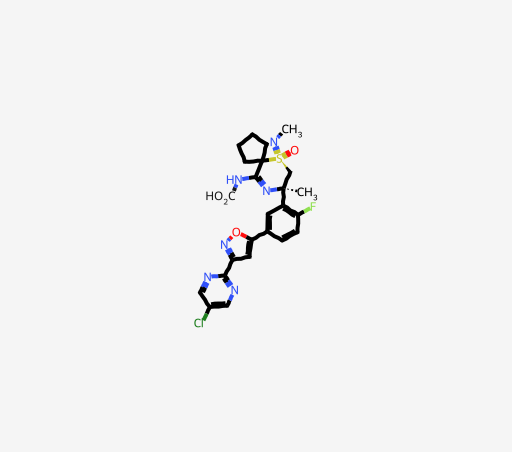 CN=[S@@]1(=O)C[C@@](C)(c2cc(-c3cc(-c4ncc(Cl)cn4)no3)ccc2F)N=C(NC(=O)O)C12CCCC2